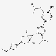 COC1CN([C@H]2C[C@@H]3[C@H](C2)[C@H]3c2cc(-c3cnc(N)c(OC(F)F)c3)nn2C(C)C)C1